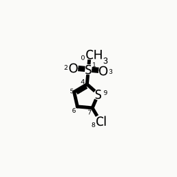 CS(=O)(=O)C1=CCC(Cl)S1